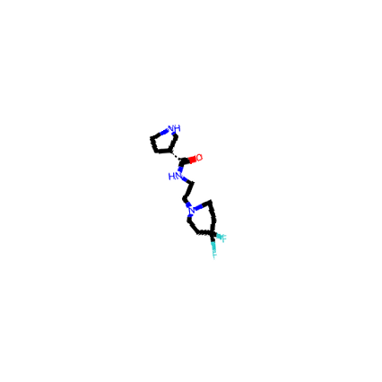 O=C(NCCN1CCC(F)(F)CC1)[C@@H]1CCNC1